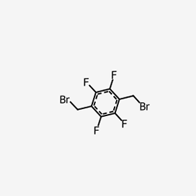 Fc1c(F)c(CBr)c(F)c(F)c1CBr